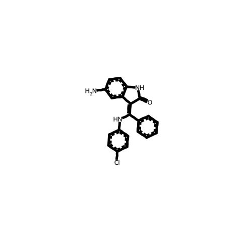 Nc1ccc2c(c1)C(=C(Nc1ccc(Cl)cc1)c1ccccc1)C(=O)N2